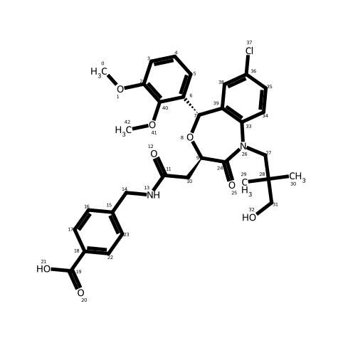 COc1cccc([C@H]2O[C@H](CC(=O)NCc3ccc(C(=O)O)cc3)C(=O)N(CC(C)(C)CO)c3ccc(Cl)cc32)c1OC